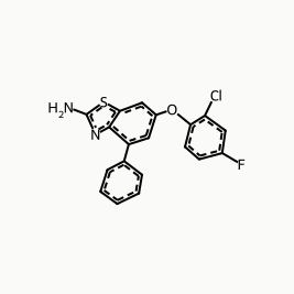 Nc1nc2c(-c3ccccc3)cc(Oc3ccc(F)cc3Cl)cc2s1